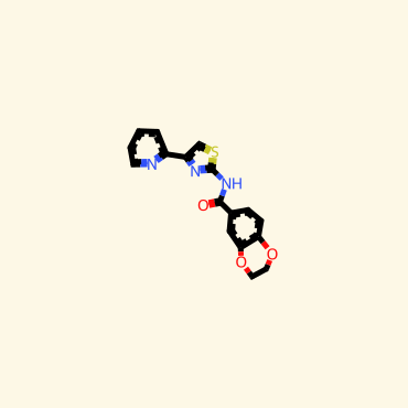 O=C(Nc1nc(-c2ccccn2)cs1)c1ccc2c(c1)OCCO2